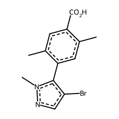 Cc1cc(-c2c(Br)cnn2C)c(C)cc1C(=O)O